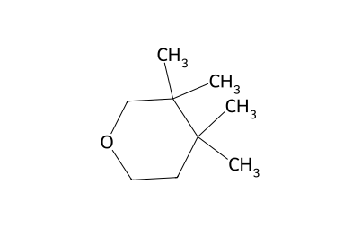 CC1(C)CCOCC1(C)C